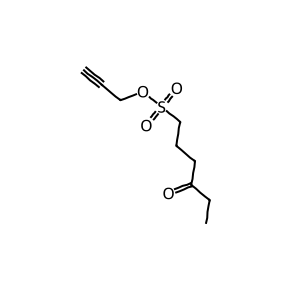 C#CCOS(=O)(=O)CCCC(=O)CC